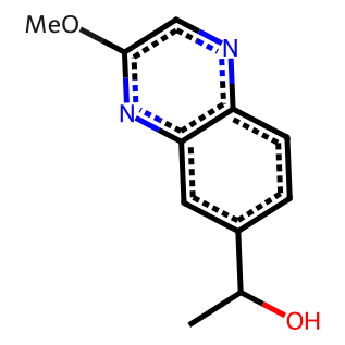 COc1cnc2ccc(C(C)O)cc2n1